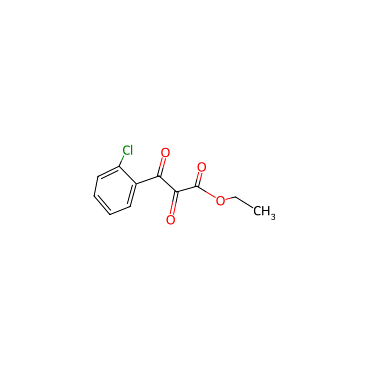 CCOC(=O)C(=O)C(=O)c1ccccc1Cl